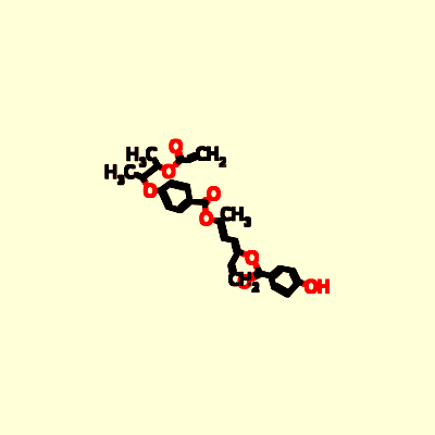 C=CC(=O)OC(C)C(C)Oc1ccc(C(=O)O/C(C)=C/C=C(\C=C)OC(=O)c2ccc(O)cc2)cc1